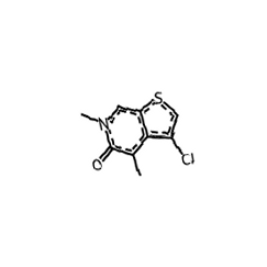 Cc1c(=O)n(C)cc2scc(Cl)c12